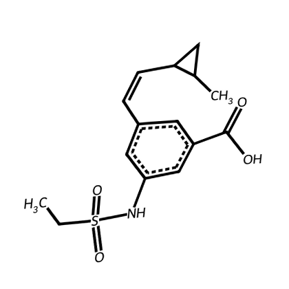 CCS(=O)(=O)Nc1cc(/C=C\C2CC2C)cc(C(=O)O)c1